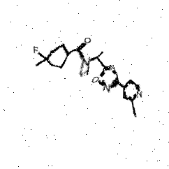 Cc1cc(-c2noc([C@H](C)NC(=O)C3CCC(C)(F)CC3)n2)ccn1